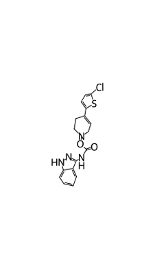 O=C(Nc1n[nH]c2ccccc12)ON1CC=C(c2ccc(Cl)s2)CC1